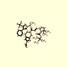 CCn1cc(-c2ccccc2[C@@H]2CN(C(=O)/C=C/[C@H]3CCC(C)(C)N3C(=O)OC(C)(C)C)Cc3sc(C#N)cc32)c(C(F)(F)F)n1